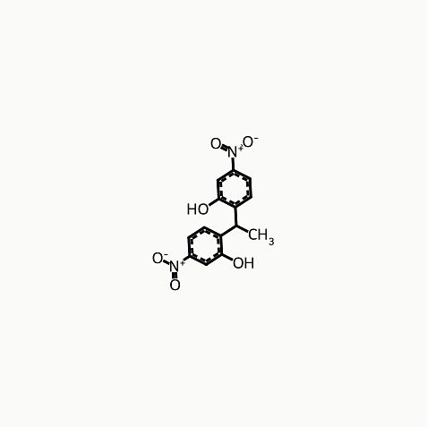 CC(c1ccc([N+](=O)[O-])cc1O)c1ccc([N+](=O)[O-])cc1O